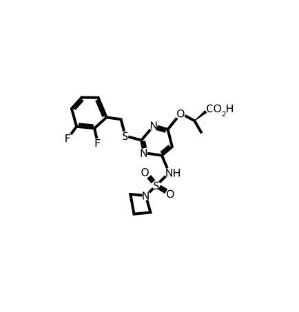 C[C@@H](Oc1cc(NS(=O)(=O)N2CCC2)nc(SCc2cccc(F)c2F)n1)C(=O)O